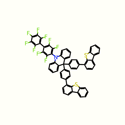 Fc1c(F)c(F)c(-c2c(F)c(F)c(N3c4ccccc4C(c4ccc(-c5cccc6c5sc5ccccc56)cc4)(c4ccc(-c5cccc6c5sc5ccccc56)cc4)c4ccccc43)c(F)c2F)c(F)c1F